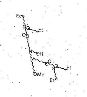 CC/C=C\CCCCOC(CCC(=O)OCCCCCCCN(CCCO)CCCN(CCCCCCCOC)CCCCCCCOC(=O)CCC(OCCCC/C=C\CC)OCCCC/C=C\CC)OCCCC/C=C\CC